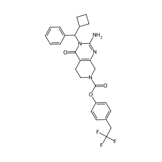 Nc1nc2c(c(=O)n1C(c1ccccc1)C1CCC1)CCN(C(=O)Oc1ccc(CC(F)(F)F)cc1)C2